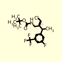 CC(/C(=C/Cl)CNC(=O)OC(C)(C)C)c1cc(F)cc(C(F)(F)F)c1